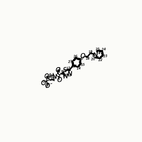 O=P([O-])(O)CNS(=O)(=O)c1nnc(-c2ccc(OCC[n+]3ccccc3)cc2)s1